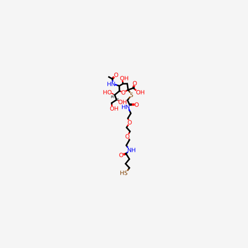 CC(=O)NC1C(O)CC(SCC(=O)NCCOCCOCCNC(=O)CCCS)(C(=O)O)OC1[C@H](O)[C@H](O)CO